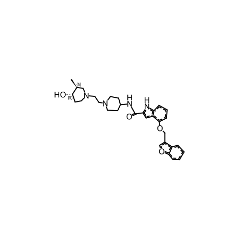 C[C@H]1CN(CCN2CCC(NC(=O)c3cc4c(OCc5coc6ccccc56)cccc4[nH]3)CC2)CC[C@@H]1O